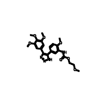 COCCOC(=O)Nc1cc(-c2[nH]nnc2-c2cc(OC)c(OC)c(OC)c2)ccc1OC